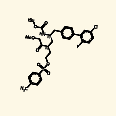 COCC(=O)[C@H](CCOS(=O)(=O)c1ccc(C)cc1)C[C@@H](Cc1ccc(-c2cc(Cl)ccc2F)cc1)NC(=O)OC(C)(C)C